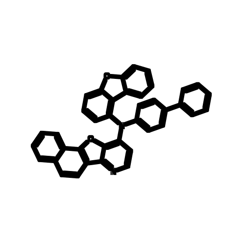 c1ccc(-c2ccc(N(c3ccnc4c3oc3c5ccccc5ccc43)c3cccc4oc5ccccc5c34)cc2)cc1